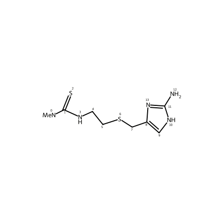 CNC(=S)NCCSCc1c[nH]c(N)n1